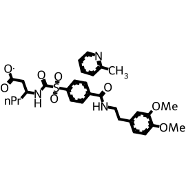 CCCC(CC([O])=O)NC(=O)S(=O)(=O)c1ccc(C(=O)NCCc2ccc(OC)c(OC)c2)cc1.Cc1ccccn1